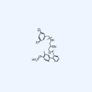 Cc1cc(-c2ccccc2C(C)OC[C@H](O)CNC(C)(C)Cc2cc(Cl)cc(Cl)c2)ccc1OC(=O)O